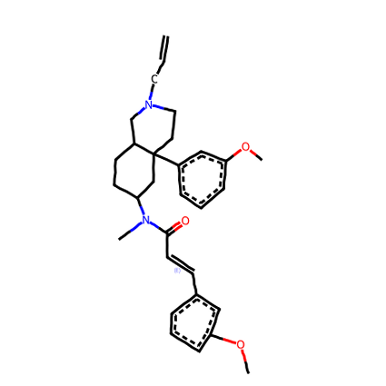 C=CCN1CCC2(c3cccc(OC)c3)CC(N(C)C(=O)/C=C/c3cccc(OC)c3)CCC2C1